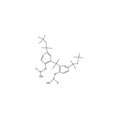 CC(C)(C)CC(C)(C)c1ccc(OP(O)F)c(C(C)(C)c2cc(C(C)(C)CC(C)(C)C)ccc2OP(O)F)c1